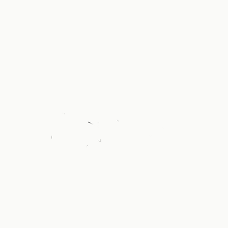 CC(C)C(N)CC[C@@H](CNC(CCc1ccccc1)CCc1ccccc1)NC(=O)OC(C)(C)C